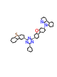 c1ccc(-c2nc(-c3ccc4c(c3)oc3cc(-n5c6ccccc6c6cccnc65)ccc34)nc(-c3ccc4sc5ccccc5c4c3)n2)cc1